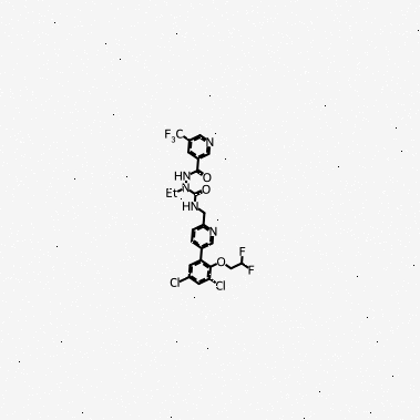 CCN(NC(=O)c1cncc(C(F)(F)F)c1)C(=O)NCc1ccc(-c2cc(Cl)cc(Cl)c2OCC(F)F)cn1